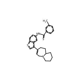 Cc1cccc(C(=S)Nc2ccc3scc(C4=CCN5CCCCC5CC4)c3c2)c1